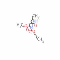 CCCCOC(=O)N1C[C@]2(CC(CC)NC2=O)C[C@H]1C(=O)OCC